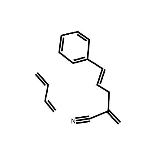 C=C(C#N)CC=Cc1ccccc1.C=CC=C